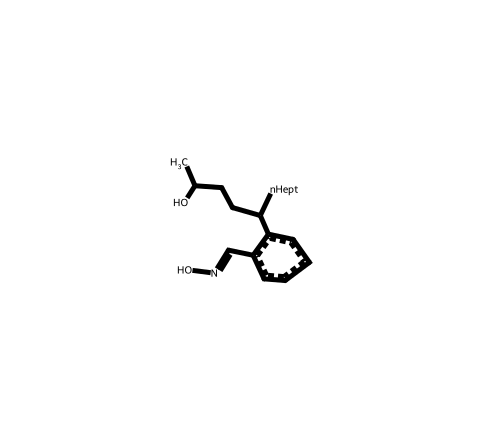 CCCCCCCC(CCC(C)O)c1ccccc1C=NO